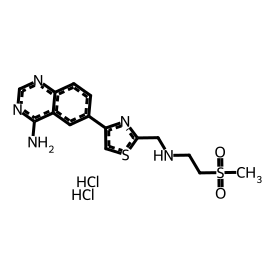 CS(=O)(=O)CCNCc1nc(-c2ccc3ncnc(N)c3c2)cs1.Cl.Cl